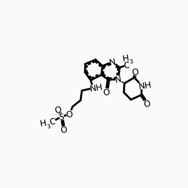 Cc1nc2cccc(NCCCOS(C)(=O)=O)c2c(=O)n1[C@H]1CCC(=O)NC1=O